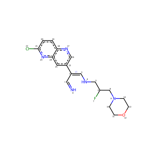 N=C/C(=C\NCC(F)CN1CCOCC1)c1cnc2ccc(Cl)nc2c1